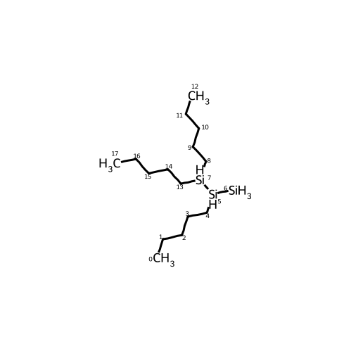 CCCCC[SiH]([SiH3])[SiH](CCCCC)CCCCC